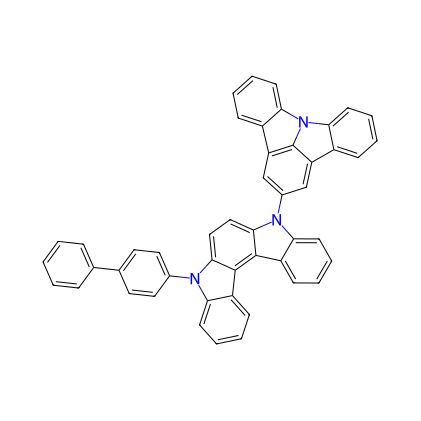 c1ccc(-c2ccc(-n3c4ccccc4c4c5c6ccccc6n(-c6cc7c8ccccc8n8c9ccccc9c(c6)c78)c5ccc43)cc2)cc1